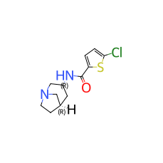 O=C(N[C@@H]1C[C@H]2CCN(C2)C1)c1ccc(Cl)s1